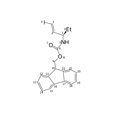 CC[C@H](/C=C/I)NC(=O)OCC1c2ccccc2-c2ccccc21